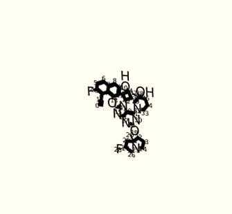 C#Cc1c(F)ccc2cc(O)cc(Oc3nc4nc(OC[C@@]56CCCN5C[C@H](F)C6)nc(N5CCC[C@@](C)(O)C5)c4n3C3CCC3)c12